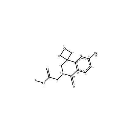 COC(=O)CN1CC2(COC2)c2cc(Br)ccc2C1=O